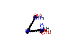 C[C@@H]1N[C@H](CCCCCCCCCCC2=CC(CCCCCCCCCC[C@@H]3CC[C@H](O)[C@H](C)N3)C3CCCN3C2)CC[C@@H]1O